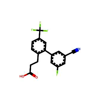 N#Cc1cc(F)cc(-c2cc(C(F)(F)F)ccc2CCC(=O)O)c1